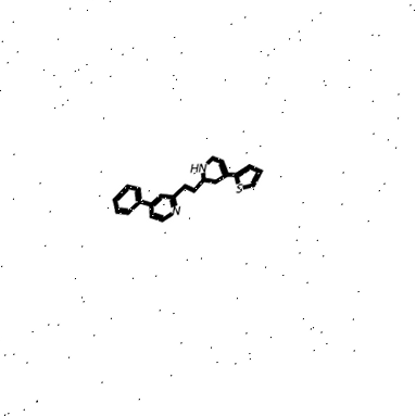 C1=C(c2cccs2)CC(CCc2cc(-c3ccccc3)ccn2)NC1